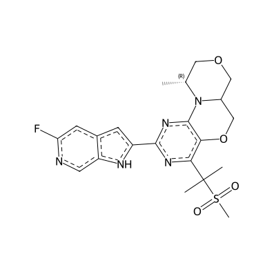 C[C@@H]1COCC2COc3c(nc(-c4cc5cc(F)ncc5[nH]4)nc3C(C)(C)S(C)(=O)=O)N21